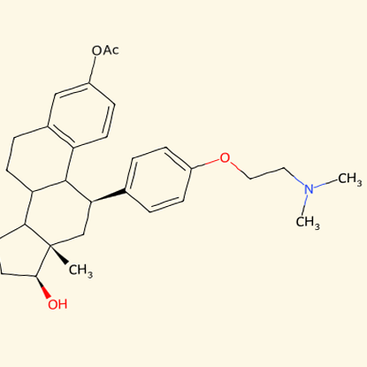 CC(=O)Oc1ccc2c(c1)CCC1C2[C@@H](c2ccc(OCCN(C)C)cc2)C[C@@]2(C)C1CC[C@@H]2O